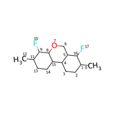 CC1CCC2C(COC3C(F)C(C)CCC23)C1F